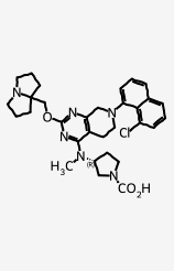 CN(c1nc(OCC23CCCN2CCC3)nc2c1CCN(c1cccc3cccc(Cl)c13)C2)[C@@H]1CCN(C(=O)O)C1